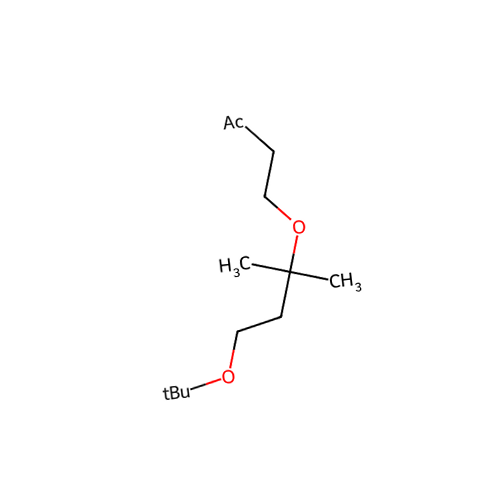 CC(=O)CCOC(C)(C)CCOC(C)(C)C